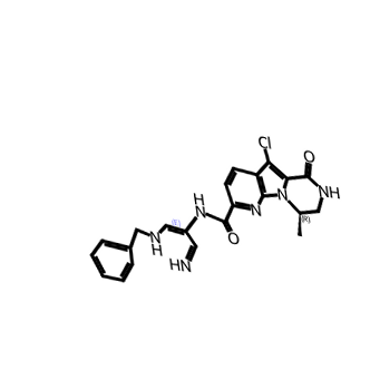 C[C@@H]1CNC(=O)c2c(Cl)c3ccc(C(=O)N/C(C=N)=C/NCc4ccccc4)nc3n21